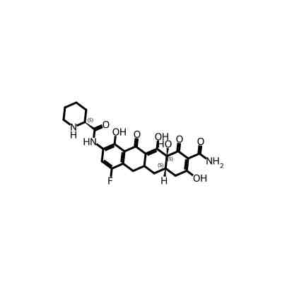 NC(=O)C1=C(O)C[C@@H]2CC3Cc4c(F)cc(NC(=O)[C@@H]5CCCCN5)c(O)c4C(=O)C3=C(O)[C@]2(O)C1=O